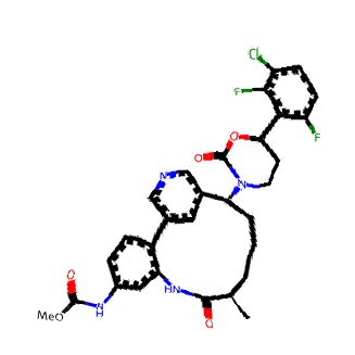 COC(=O)Nc1ccc2c(c1)NC(=O)[C@H](C)CCC[C@H](N1CCC(c3c(F)ccc(Cl)c3F)OC1=O)c1cncc-2c1